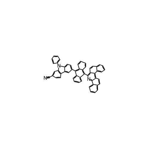 N#Cc1ccc2c3cc(-c4c5ccccc5c(-c5nc6c7ccccc7ccc6c6c5ccc5ccccc56)c5ccccc45)ccc3n(-c3ccccc3)c2c1